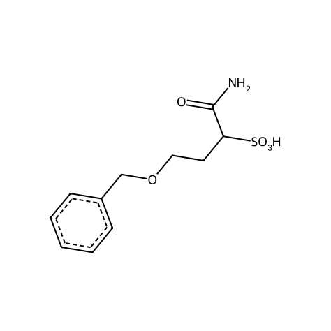 NC(=O)C(CCOCc1ccccc1)S(=O)(=O)O